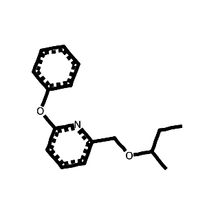 CCC(C)OCc1cccc(Oc2ccccc2)n1